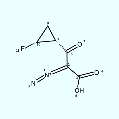 [N-]=[N+]=C(C(=O)O)C(=O)[C@H]1C[C@H]1F